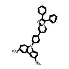 CC(C)(C)c1ccc2c(c1)c1cc(C(C)(C)C)ccc1n2-c1ccc(-c2ccn3c(-c4ccccc4)c(-c4ccccc4)nc3c2)cc1